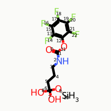 O=C(NCCCC(O)(O)O[SiH3])Oc1c(F)c(F)c(F)c(F)c1F